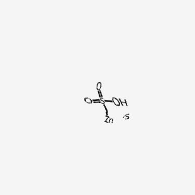 O=[S](=O)(O)[Zn].[S]